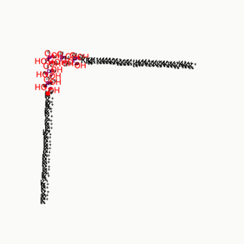 O=P(O)(O)O.O=P(O)(O)O.O=P(O)(O)O.O=P(O)(O)O.O=P(O)(O)O.[K+].[K+].[K+].[K+].[K+].[K+].[K+].[K+].[K+].[K+].[K+].[K+].[K+].[K+].[K+].[K+].[K+].[K+].[K+].[K+].[K+].[K+].[K+].[K+].[K+].[K+].[K+].[K+].[K+].[K+].[K+].[K+].[K+].[K+].[K+].[K+].[K+].[K+].[K+].[K+].[K+].[K+].[K+].[K+].[K+].[K+].[K+].[K+].[K+].[K+].[K+].[K+].[K+].[K+].[K+].[K+].[K+].[K+].[K+].[K+].[K+].[K+]